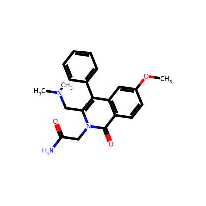 COc1ccc2c(=O)n(CC(N)=O)c(CN(C)C)c(-c3ccccc3)c2c1